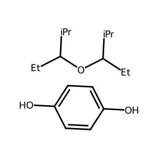 CCC(OC(CC)C(C)C)C(C)C.Oc1ccc(O)cc1